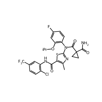 Cc1nc(N(C(=O)C2(C(N)=O)CC2)c2ccc(F)cc2OC(C)C)sc1C(=O)Nc1cc(C(F)(F)F)ccc1Cl